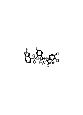 C[C@@](NC(=O)c1ccc(I)cc1NS(=O)(=O)C1=CC=CN2SNC=C12)(C(=O)O)c1ccc(Cl)c(Cl)c1